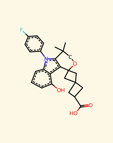 CC1(C)COC2(CC3(CC(C(=O)O)C3)C2)c2c1n(-c1ccc(F)cc1)c1cccc(O)c21